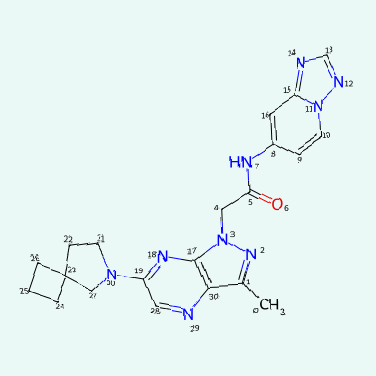 Cc1nn(CC(=O)Nc2ccn3ncnc3c2)c2nc(N3CCC4(CCC4)C3)cnc12